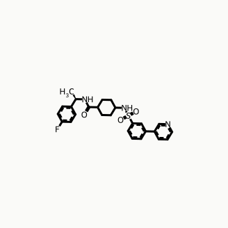 C[C@@H](NC(=O)C1CCC(NS(=O)(=O)c2cccc(-c3cccnc3)c2)CC1)c1ccc(F)cc1